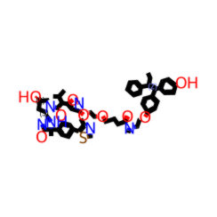 CC/C(=C(\c1ccc(O)cc1)c1ccc(OCCN(C)C(=O)CCCOCCOc2cc(C(C(=O)N3C[C@H](O)C[C@H]3C3=NC(=O)C(C)(c4ccc(-c5scnc5C)cc4)N3)C(C)C)on2)cc1)c1ccccc1